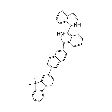 CC1(C)c2ccccc2-c2ccc(-c3ccc4cc(C5=c6ccccc6=C(C6NC=Cc7ccccc76)NC5)ccc4c3)cc21